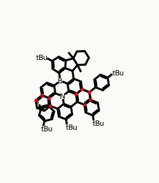 CC(C)(C)c1ccc(C(c2ccc(C(C)(C)C)cc2)c2cc3c4c(c2)N(c2c(C5=CCCC=C5)cc(C(C)(C)C)cc2-c2ccccc2)c2c(ccc5sc6cc(C(C)(C)C)ccc6c25)B4c2cc(C(C)(C)C)cc4c2C3C2(C)CCCCC42C)cc1